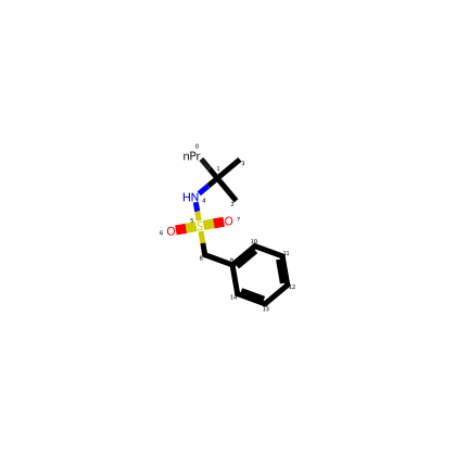 CCCC(C)(C)NS(=O)(=O)Cc1ccccc1